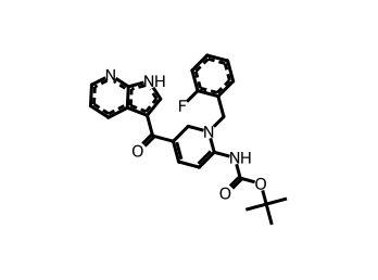 CC(C)(C)OC(=O)NC1=CC=C(C(=O)c2c[nH]c3ncccc23)CN1Cc1ccccc1F